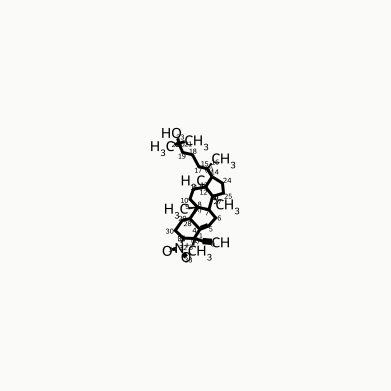 C#C[C@@]1(C)C2=CCC3[C@@](C)(CC[C@]4(C)C([C@H](C)CCCC(C)(C)O)CC[C@@]34C)C2CC[C@@H]1[N+](=O)[O-]